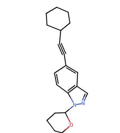 C(#CC1CCCCC1)c1ccc2c(cnn2C2CCCCO2)c1